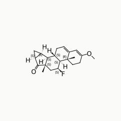 COC1=CC2=CC[C@@H]3[C@H]([C@@H](F)C[C@]4(C)C(=O)[C@H]5C[C@H]5[C@@H]34)[C@@]2(C)CC1